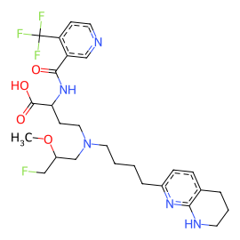 COC(CF)CN(CCCCc1ccc2c(n1)NCCC2)CCC(NC(=O)c1cnccc1C(F)(F)F)C(=O)O